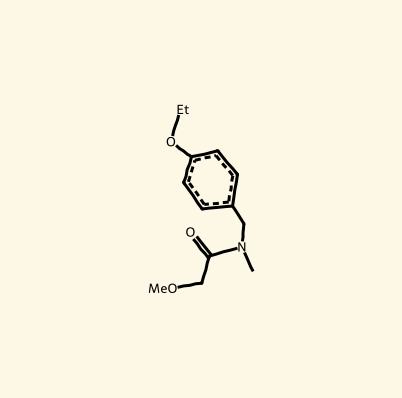 CCOc1ccc(CN(C)C(=O)COC)cc1